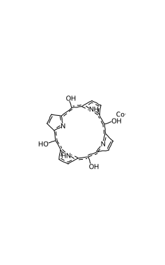 Oc1c2nc(c(O)c3ccc([nH]3)c(O)c3nc(c(O)c4ccc1[nH]4)C=C3)C=C2.[Co]